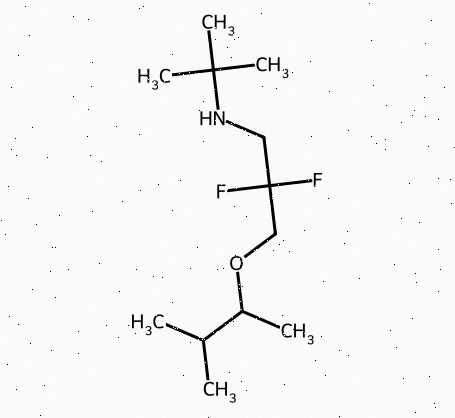 CC(C)C(C)OCC(F)(F)CNC(C)(C)C